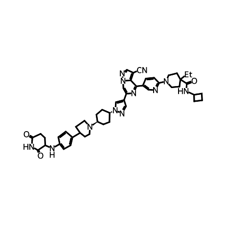 CCC1(C(=O)NC2CCC2)CCN(c2ccc(-c3nc(-c4cnn([C@H]5CC[C@H](N6CCC(c7ccc(NC8CCC(=O)NC8=O)cc7)CC6)CC5)c4)cn4ncc(C#N)c34)cn2)CC1